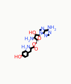 Nc1ncnc2c1ncn2[C@@H]1O[C@H](COC(=O)[C@@H](N)Cc2ccc(O)cc2)[C@@H](N)[C@H]1O